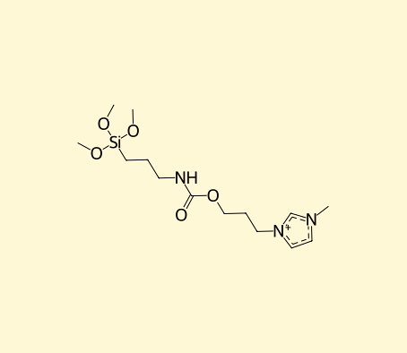 CO[Si](CCCNC(=O)OCCC[n+]1ccn(C)c1)(OC)OC